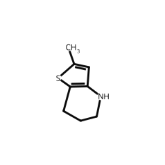 Cc1cc2c(s1)CCCN2